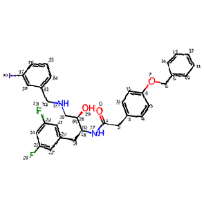 O=C(Cc1ccc(OCc2ccccc2)cc1)N[C@@H](Cc1cc(F)cc(F)c1)[C@H](O)CNCc1cccc(I)c1